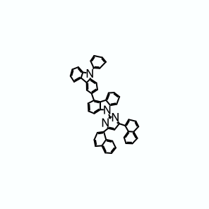 c1ccc(-n2c3ccccc3c3cc(-c4cccc5c4c4ccccc4n5-c4nc(-c5cccc6ccccc56)cc(-c5cccc6ccccc56)n4)ccc32)cc1